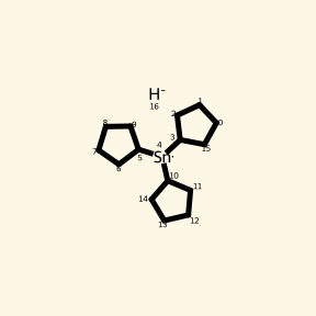 C1CC[CH]([Sn]([CH]2CCCC2)[CH]2CCCC2)C1.[H-]